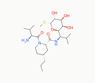 CCC[C@@H]1CCN(C(=O)[C@@H](N)C(C)C)[C@H](C(=O)N[C@H](C(C)C)[C@H]2O[C@H](SC)[C@H](O)[C@@H](O)[C@H]2O)C1